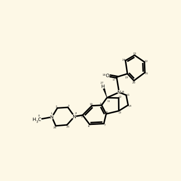 CN1CCN(c2ccc3c(c2)[C@H]2CC3CCN2C(=O)c2ccccc2)CC1